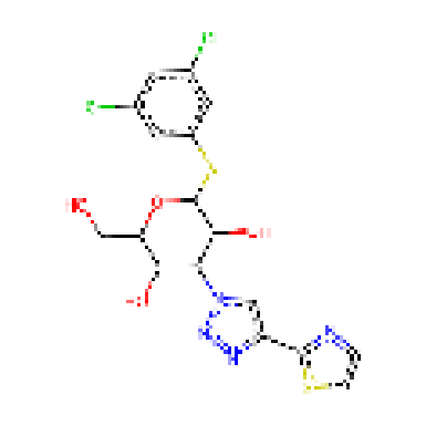 OCC1OC(Sc2cc(Cl)cc(Cl)c2)[C@@H](O)C(n2cc(-c3nccs3)nn2)C1O